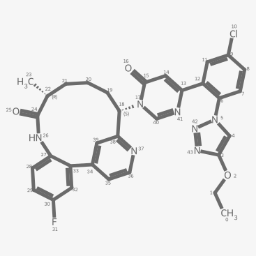 CCOc1cn(-c2ccc(Cl)cc2-c2cc(=O)n([C@H]3CCC[C@@H](C)C(=O)Nc4ccc(F)cc4-c4ccnc3c4)cn2)nn1